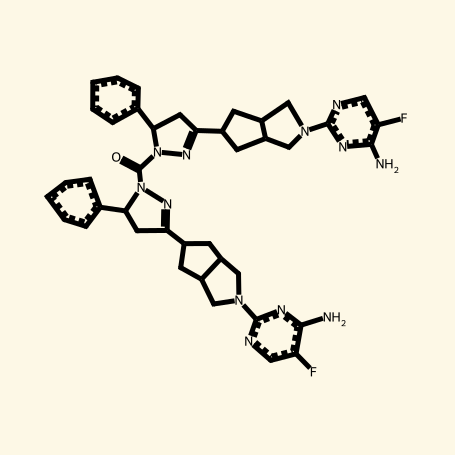 Nc1nc(N2CC3CC(C4=NN(C(=O)N5N=C(C6CC7CN(c8ncc(F)c(N)n8)CC7C6)CC5c5ccccc5)C(c5ccccc5)C4)CC3C2)ncc1F